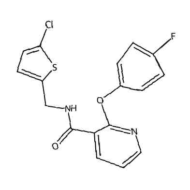 O=C(NCc1ccc(Cl)s1)c1cccnc1Oc1ccc(F)cc1